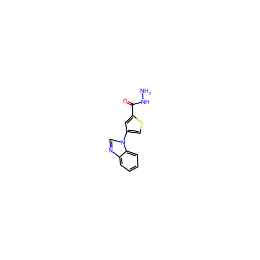 NNC(=O)c1cc(-n2cnc3ccccc32)cs1